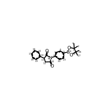 CC1(C)OB(c2ccc(N3C(=O)CC(c4ccccc4)C3=O)cc2)OC1(C)C